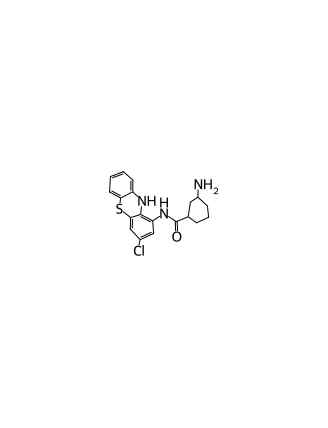 NC1CCCC(C(=O)Nc2cc(Cl)cc3c2Nc2ccccc2S3)C1